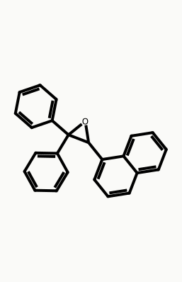 c1ccc(C2(c3ccccc3)OC2c2cccc3ccccc23)cc1